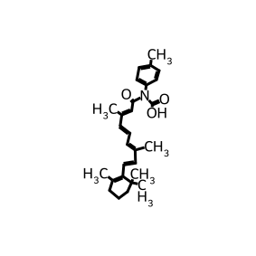 CC(C=CC1=C(C)CCCC1(C)C)=CC=CC(C)=CC(=O)N(C(=O)O)c1ccc(C)cc1